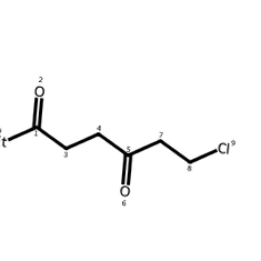 CCC(=O)CCC(=O)CCCl